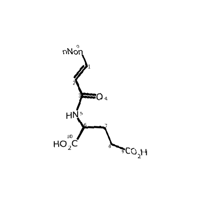 CCCCCCCCCC=CC(=O)NC(CCC(=O)O)C(=O)O